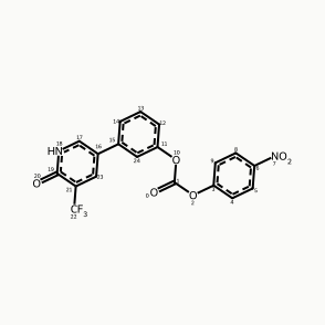 O=C(Oc1ccc([N+](=O)[O-])cc1)Oc1cccc(-c2c[nH]c(=O)c(C(F)(F)F)c2)c1